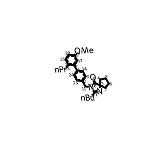 CCCCC1=NC2(CCCC2)C(=O)N1Cc1ccc(-c2cc(OC)ccc2CCC)cc1